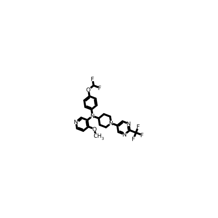 COc1ccncc1N(c1ccc(OC(F)F)cc1)C1CCN(c2cnc(C(F)(F)F)nc2)CC1